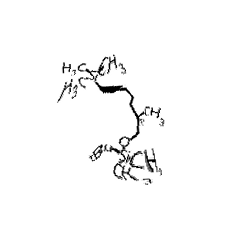 C[C@H](CCC#C[Si](C)(C)C)CO[Si](C)(C)C(C)(C)C